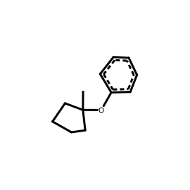 CC1(Oc2ccccc2)CCCC1